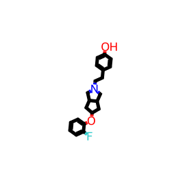 Oc1ccc(CCN2CC3CC(Oc4ccccc4F)CC3C2)cc1